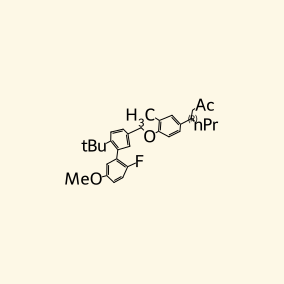 CCC[C@H](CC(C)=O)c1ccc(OCc2ccc(C(C)(C)C)c(-c3cc(OC)ccc3F)c2)c(C)c1